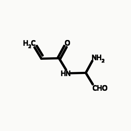 C=CC(=O)NC(N)C=O